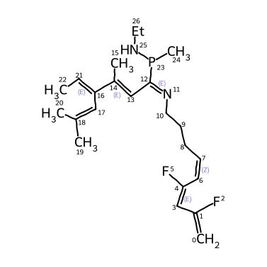 C=C(F)/C=C(F)\C=C/CCC\N=C(/C=C(C)/C(C=C(C)C)=C/C)P(C)NCC